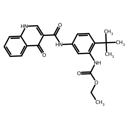 CCOC(=O)Nc1cc(NC(=O)c2c[nH]c3ccccc3c2=O)ccc1C(C)(C)C